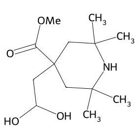 COC(=O)C1(CC(O)O)CC(C)(C)NC(C)(C)C1